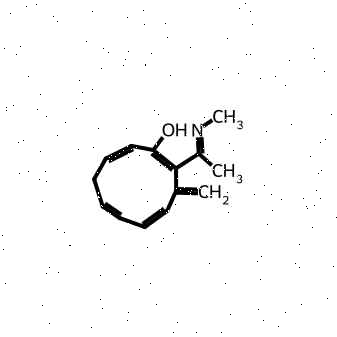 C=C1/C=C\C=C/C\C=C/C(O)=C1/C(C)=N/C